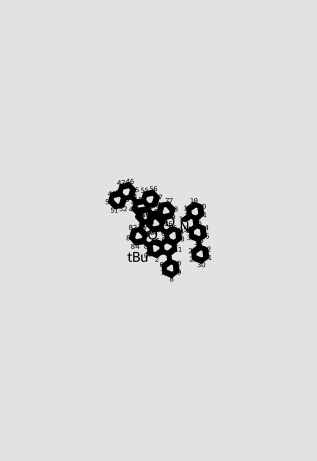 CC(C)(C)c1cc2c(-c3ccccc3)cc3cc(N4C=c5ccccc5=C5C=CC(c6ccccc6)=CC54)c4oc5cc(N6C=CC(c7cccc8ccccc78)=C7C=CC=CC76)ccc5c4c3c2c2oc3c(-c4cccc(-c5ccccc5)c4)cccc3c12